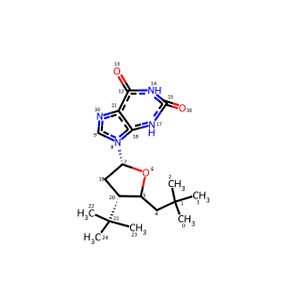 CC(C)(C)CC1O[C@@H](n2cnc3c(=O)[nH]c(=O)[nH]c32)C[C@H]1C(C)(C)C